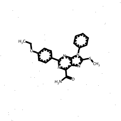 CCOc1ccc(-c2nc(C(N)=O)c3nc(SC)n(-c4ccccc4)c3n2)cc1